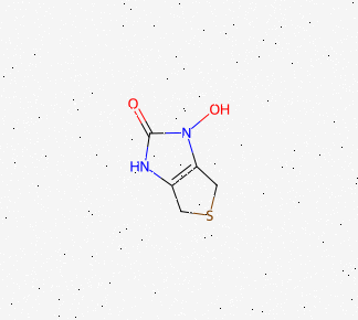 O=c1[nH]c2c(n1O)CSC2